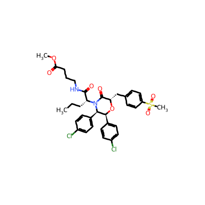 CCC[C@H](C(=O)NCCCC(=O)OC)N1C(=O)[C@H](Cc2ccc(S(C)(=O)=O)cc2)O[C@@H](c2ccc(Cl)cc2)[C@H]1c1ccc(Cl)cc1